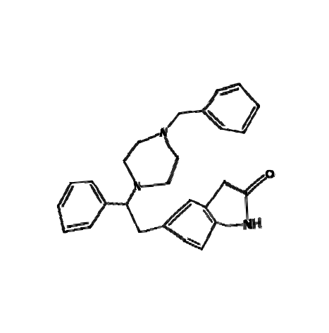 O=C1Cc2cc(CC(c3ccccc3)N3CCN(Cc4ccccc4)CC3)ccc2N1